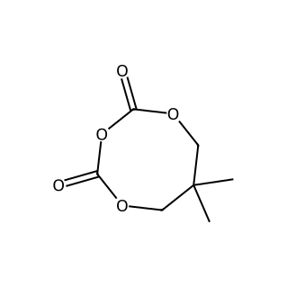 CC1(C)COC(=O)OC(=O)OC1